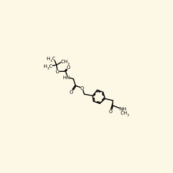 CNC(=O)Cc1ccc(COC(=O)CNC(=O)OC(C)(C)C)cc1